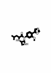 COc1cc(NC(=O)C(CC(C)C)NC2CNC2)ccc1-c1cnco1